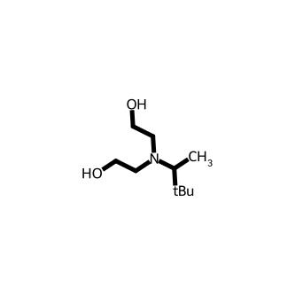 CC(N(CCO)CCO)C(C)(C)C